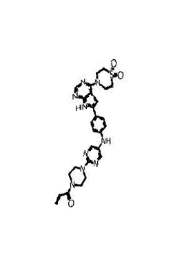 C=CC(=O)N1CCN(c2ncc(Nc3ccc(-c4cc5c(N6CCS(=O)(=O)CC6)ncnc5[nH]4)cc3)cn2)CC1